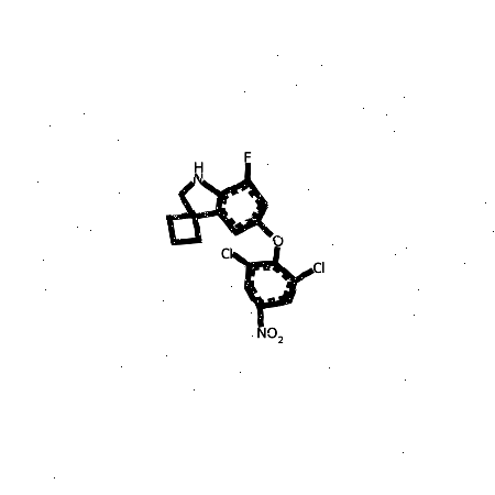 O=[N+]([O-])c1cc(Cl)c(Oc2cc(F)c3c(c2)C2(CCC2)CN3)c(Cl)c1